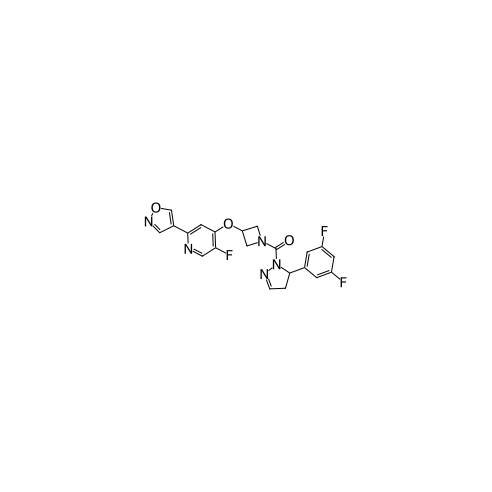 O=C(N1CC(Oc2cc(-c3cnoc3)ncc2F)C1)N1N=CCC1c1cc(F)cc(F)c1